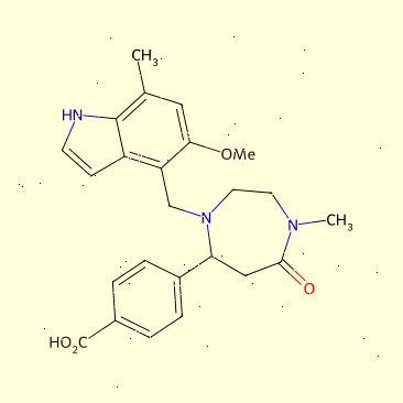 COc1cc(C)c2[nH]ccc2c1CN1CCN(C)C(=O)CC1c1ccc(C(=O)O)cc1